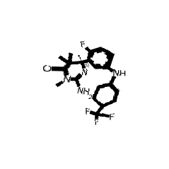 CN1C(=O)C(C)(C)[C@@](C)(c2cc(NC3CCC(C(F)(F)F)CC3)ccc2F)N=C1N